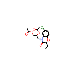 CCC1Oc2ccc(Cl)cc2N(CC(COC(C)=O)OC(C)=O)C1=O